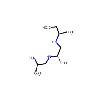 N[C@@H](CN[C@H](CN[C@@H](CC(=O)O)C(=O)O)C(=O)O)C(=O)O